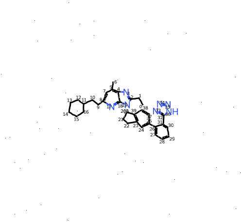 CCc1nc2c(C)cc(CCC3CCCCC3)nc2n1[C@H]1CCc2cc(-c3ccccc3-c3nnn[nH]3)ccc21